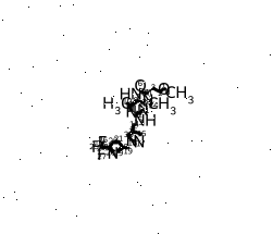 COCC[C@@H]1C(=O)Nc2c(C)nc(NCc3cnn(Cc4ccc(C(F)(F)F)nc4)c3)nc2N1C